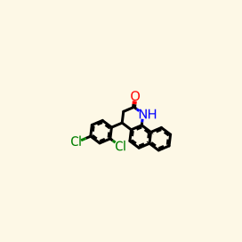 O=C1CC(c2ccc(Cl)cc2Cl)c2ccc3ccccc3c2N1